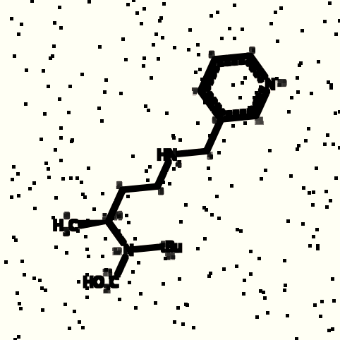 C[C@@H](CCNCc1cccnc1)N(C(=O)O)C(C)(C)C